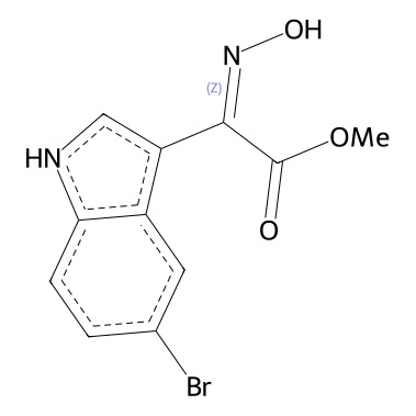 COC(=O)/C(=N\O)c1c[nH]c2ccc(Br)cc12